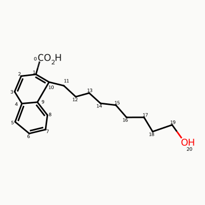 O=C(O)c1ccc2ccccc2c1CCCCCCCCCO